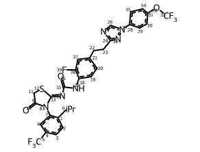 CC(C)c1ccc(C(F)(F)F)cc1N1C(=O)CSC1=NC(=O)Nc1ccc(CCc2ncn(-c3ccc(OC(F)(F)F)cc3)n2)cc1F